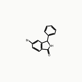 O=C1NC(c2ccccc2)c2cc(Br)ccc21